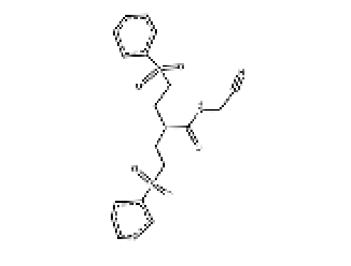 N#CCNC(=O)C(CCS(=O)(=O)c1ccccc1)CCS(=O)(=O)c1ccccc1